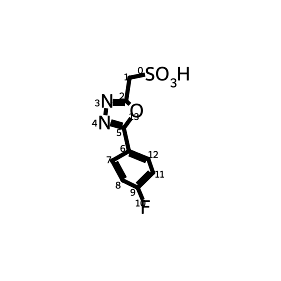 O=S(=O)(O)Cc1nnc(-c2ccc(F)cc2)o1